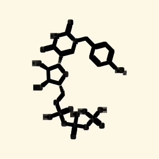 O=c1[nH]c(=O)n(Cc2ccc([N+](=O)[O-])cc2)cc1[C@@H]1O[C@H](COP(=O)(O)OP(=O)(O)OP(=O)(O)O)[C@@H](O)[C@H]1O